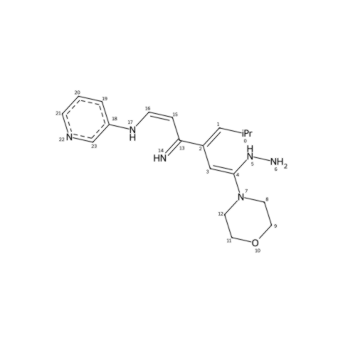 CC(C)/C=C(\C=C(/NN)N1CCOCC1)C(=N)/C=C\Nc1cccnc1